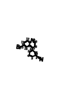 N#Cc1cccc(-c2ccnc3ccc(Br)cc23)c1